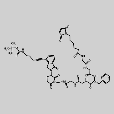 CC(C)(C)OC(=O)NCCCC#Cc1cccc2c1CN(C1CCC(=O)N(CNC(=O)CNC(=O)CNC(=O)[C@H](Cc3ccccc3)NC(=O)CNC(=O)CNC(=O)CCCCCN3C(=O)C=CC3=O)C1=O)C2=O